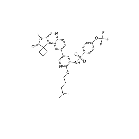 CN(C)CCCOc1ncc(-c2ccc3ncc4c(c3c2)C2(CCC2)C(=O)N4C)cc1NS(=O)(=O)c1ccc(OC(F)(F)F)cc1